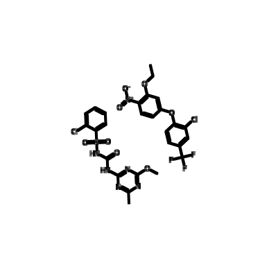 CCOc1cc(Oc2ccc(C(F)(F)F)cc2Cl)ccc1[N+](=O)[O-].COc1nc(C)nc(NC(=O)NS(=O)(=O)c2ccccc2Cl)n1